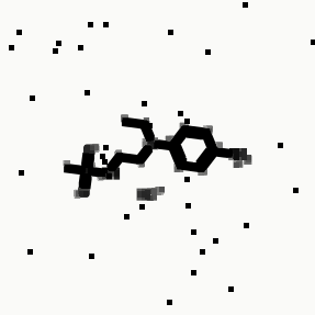 CCN(CCNS(C)(=O)=O)c1ccc(N)cc1.Cl